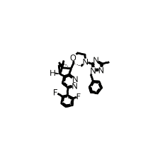 Cc1nc(N2CCO[C@@H]([C@@]34CC[C@@H](c5cc(-c6c(F)cccc6F)nnc53)C4(C)C)C2)n(Cc2ccccc2)n1